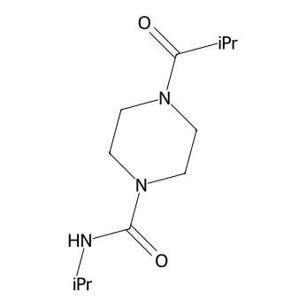 CC(C)NC(=O)N1CCN(C(=O)C(C)C)CC1